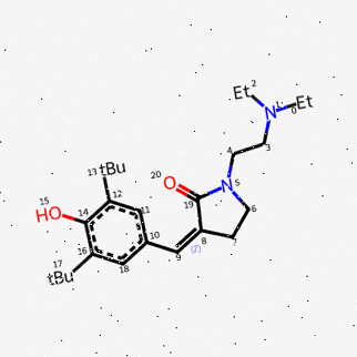 CCN(CC)CCN1CC/C(=C/c2cc(C(C)(C)C)c(O)c(C(C)(C)C)c2)C1=O